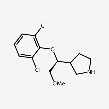 COC[C@@H](Oc1c(Cl)cccc1Cl)C1CCNC1